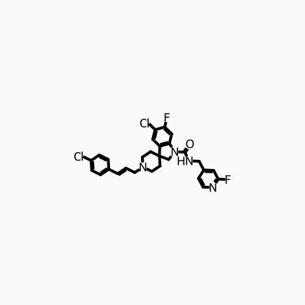 O=C(NCc1ccnc(F)c1)N1CC2(CCN(CC=Cc3ccc(Cl)cc3)CC2)c2cc(Cl)c(F)cc21